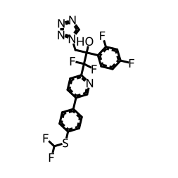 OC(Cn1cnnn1)(c1ccc(F)cc1F)C(F)(F)c1ccc(-c2ccc(SC(F)F)cc2)cn1